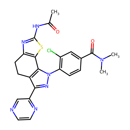 CC(=O)Nc1nc2c(s1)-c1c(c(-c3cnccn3)nn1-c1ccc(C(=O)N(C)C)cc1Cl)CC2